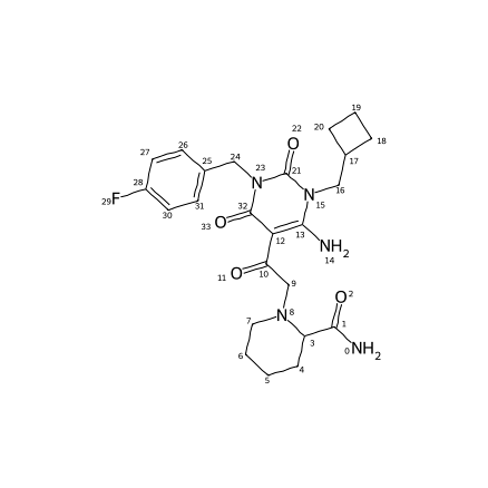 NC(=O)C1CCCCN1CC(=O)c1c(N)n(CC2CCC2)c(=O)n(Cc2ccc(F)cc2)c1=O